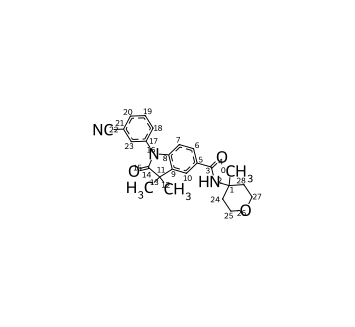 CC1(NC(=O)c2ccc3c(c2)C(C)(C)C(=O)N3c2cccc(C#N)c2)CCOCC1